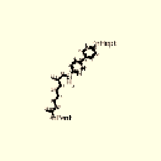 CCCCCCCc1ccc(-c2ccc([SiH2]CC(C)CCCCCC(C)CCCCC)nn2)cn1